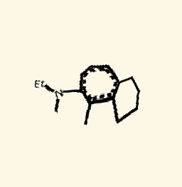 CCN(C)c1ccc2c(c1C)CCCC2